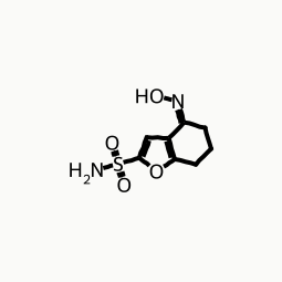 NS(=O)(=O)c1cc2c(o1)CCC/C2=N/O